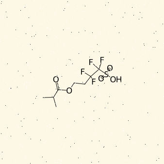 CC(C)C(=O)OCCC(F)(F)C(F)(F)S(=O)(=O)O